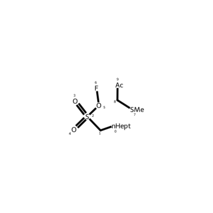 CCCCCCCCS(=O)(=O)OF.CSCC(C)=O